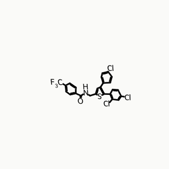 O=C(NCc1cc(-c2ccc(Cl)cc2)c(-c2ccc(Cl)cc2Cl)s1)c1ccc(C(F)(F)F)cc1